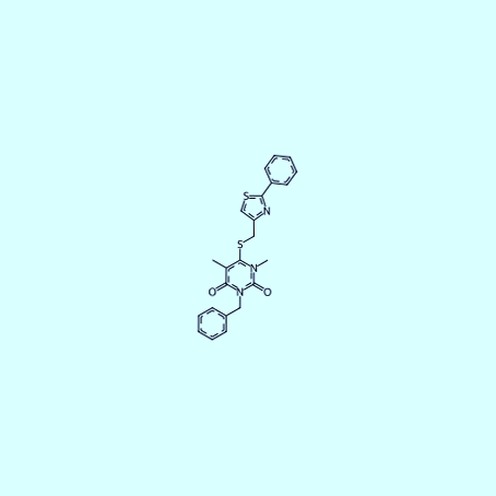 Cc1c(SCc2csc(-c3ccccc3)n2)n(C)c(=O)n(Cc2ccccc2)c1=O